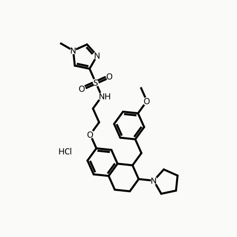 COc1cccc(CC2c3cc(OCCNS(=O)(=O)c4cn(C)cn4)ccc3CCC2N2CCCC2)c1.Cl